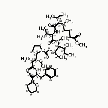 CC[C@H](C)[C@@H]([C@@H](CC(=O)N1CCC[C@H]1[C@H](OC)[C@@H](C)C(=O)N[C@@H](Cc1ccccc1)C(=O)N1CCCCO1)OC)N(C)C(=O)[C@@H](NC(=O)[C@H](C(C)C)N(C)CCCC(=O)OC)C(C)C